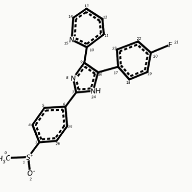 C[S+]([O-])c1ccc(-c2nc(-c3ccccn3)c(-c3ccc(F)cc3)[nH]2)cc1